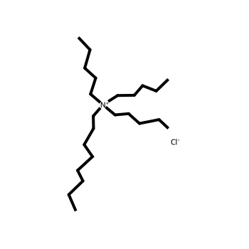 CCCCCCCC[N+](CCCCC)(CCCCC)CCCCC.[Cl-]